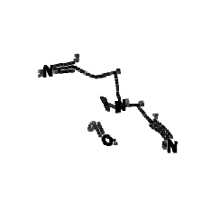 C=O.N#CCNCC#N